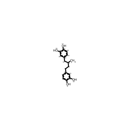 CC(CCc1ccc(O)c(O)c1)Cc1ccc(O)c(O)c1